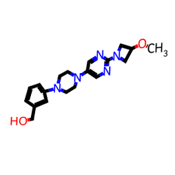 COC1CN(c2ncc(N3CCN(c4cccc(CO)c4)CC3)cn2)C1